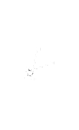 CCCCCCCC(CCCCCC)n1cc(C)c(=O)[nH]c1=O